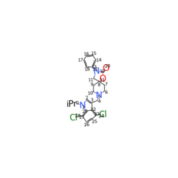 CC(C)n1cc(CN2CCC3(CC2)CN(c2ccccc2)C(=O)O3)c2c(Cl)ccc(Cl)c21